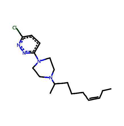 CC/C=C\CCCC(C)N1CCN(c2ccc(Cl)nn2)CC1